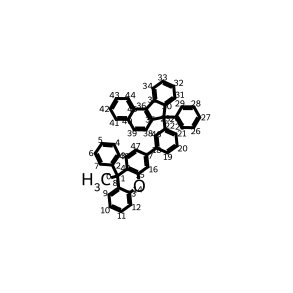 CC1(c2ccccc2)c2ccccc2Oc2cc(-c3cccc(C4(c5ccccc5)c5ccccc5-c5c4ccc4ccccc54)c3)ccc21